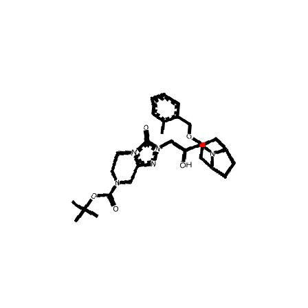 Cc1ccccc1COC1CC2CCC(C1)N2CC(O)Cn1nc2n(c1=O)CCN(C(=O)OC(C)(C)C)C2